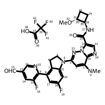 CNc1cc(N2CCc3c(-c4ncc(C=O)cc4F)cc(F)cc32)nn2c(C(=O)N[C@@H]3CC[C@H]3OC)cnc12.O=C(O)C(F)(F)F